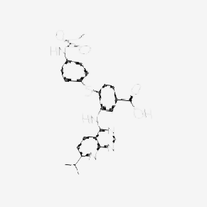 CC(C)c1ccc2c(Nc3cc(C(=O)O)ccc3Sc3ccc(NS(C)(=O)=O)cc3)ncnc2n1